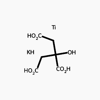 O=C(O)CC(O)(CC(=O)O)C(=O)O.[KH].[Ti]